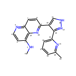 CNc1ccnc2ccc(-c3c[nH]nc3-c3cccc(C)n3)nc12